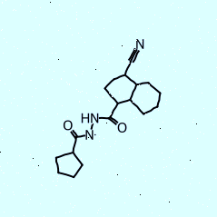 N#CC1CCC(C(=O)N[N]C(=O)C2CCCC2)C2CCCCC12